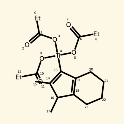 CCC(=O)[O][Ti]([O]C(=O)CC)([O]C(=O)CC)[C]1=C(C)C(C)C2=C1CCCC2